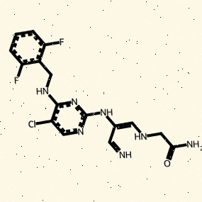 N=C/C(=C\NCC(N)=O)Nc1ncc(Cl)c(NCc2c(F)cccc2F)n1